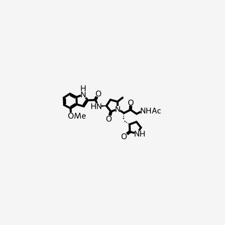 COc1cccc2[nH]c(C(=O)N[C@H]3CC(C)N([C@@H](C[C@@H]4CCNC4=O)C(=O)CNC(C)=O)C3=O)cc12